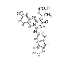 C[C@@H](CC(=O)O)n1c(=O)[nH]/c(=N\c2ccc3[nH]c4c(c3c2)CCCC4)n(Cc2ccc(Cl)cc2)c1=O